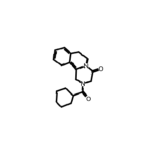 O=C(C1CCCCC1)N1CC(=O)N2CCC3=CC=CCC3=C2C1